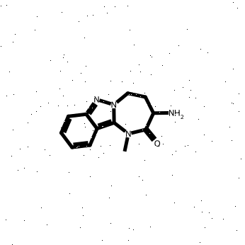 CN1C(=O)C(N)CCn2nc3ccccc3c21